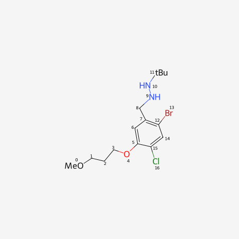 COCCCOc1cc(CNNC(C)(C)C)c(Br)cc1Cl